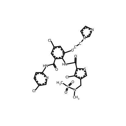 CN(Cc1csc(C(=O)Nc2c(OCCn3ccnc3)cc(Cl)cc2C(=O)Nc2ccc(Cl)cn2)c1Cl)S(C)(=O)=O